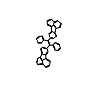 c1ccc(/C(=C(/c2ccccc2)c2ccc3c(c2)-c2cccc4cccc-3c24)c2ccc3c(c2)-c2cccc4cccc-3c24)cc1